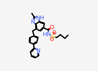 CCCCS(=O)(=O)NC(=O)c1cc(Cc2ccc(-c3ccccn3)cc2)c2nc(C)[nH]c2c1